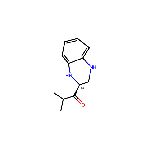 CC(C)C(=O)[C@@H]1CNc2ccccc2N1